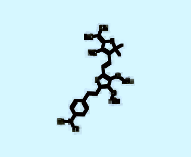 CCCCOc1c(/C=C/C2=C(C#N)C(=C(C#N)C#N)SC2(C)C)sc(/C=C/c2ccc(N(CC)CC)cc2)c1OCCCC